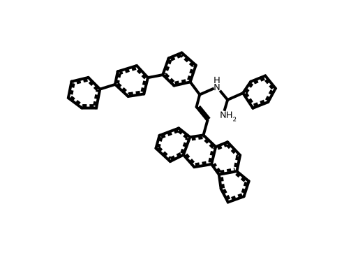 NC(NC(/C=C/c1c2ccccc2cc2c1ccc1ccccc12)c1cccc(-c2ccc(-c3ccccc3)cc2)c1)c1ccccc1